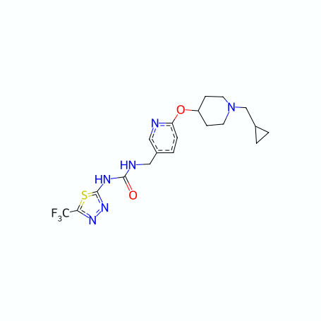 O=C(NCc1ccc(OC2CCN(CC3CC3)CC2)nc1)Nc1nnc(C(F)(F)F)s1